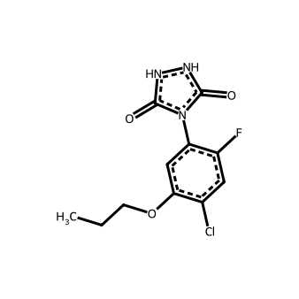 CCCOc1cc(-n2c(=O)[nH][nH]c2=O)c(F)cc1Cl